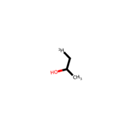 [2H]CC(C)O